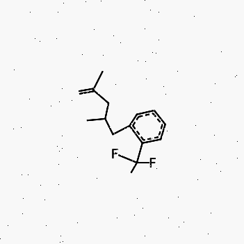 C=C(C)CC(C)Cc1ccccc1C(C)(F)F